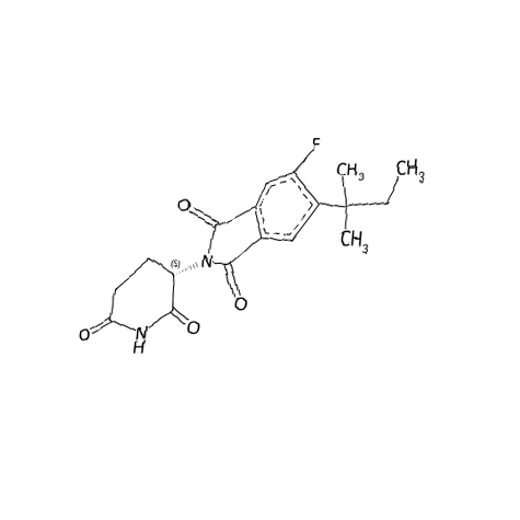 CCC(C)(C)c1cc2c(cc1F)C(=O)N([C@H]1CCC(=O)NC1=O)C2=O